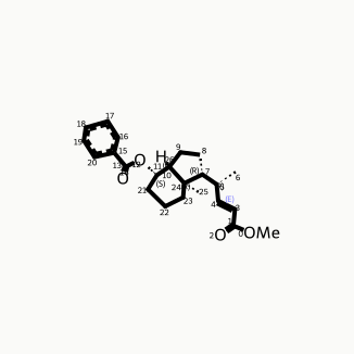 COC(=O)/C=C/[C@@H](C)[C@H]1CC[C@H]2[C@@H](OC(=O)c3ccccc3)CCC[C@]12C